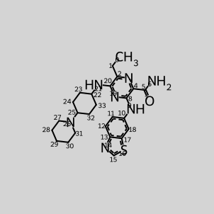 CCc1nc(C(N)=O)c(Nc2ccc3ncsc3c2)nc1NC1CCC(N2CCCCC2)CC1